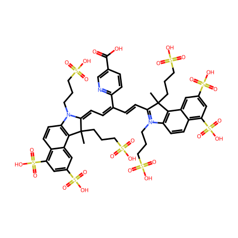 CC1(CCCS(=O)(=O)O)C(/C=C/C(=C/C=C2/N(CCCS(=O)(=O)O)c3ccc4c(S(=O)(=O)O)cc(S(=O)(=O)O)cc4c3C2(C)CCCS(=O)(=O)O)c2ccc(C(=O)O)cn2)=[N+](CCCS(=O)(=O)O)c2ccc3c(S(=O)(=O)O)cc(S(=O)(=O)O)cc3c21